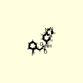 O=S(=O)(Cc1ccccc1F)Nc1ccc2nncn2c1